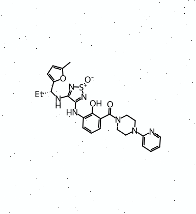 CC[C@@H](Nc1n[s+]([O-])nc1Nc1cccc(C(=O)N2CCN(c3ccccn3)CC2)c1O)c1ccc(C)o1